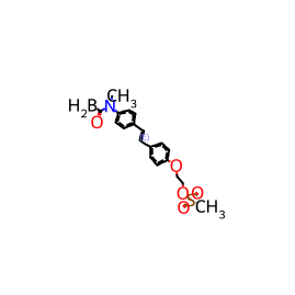 BC(=O)N(C)c1ccc(/C=C/c2ccc(OCCOS(C)(=O)=O)cc2)cc1